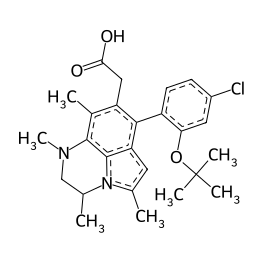 Cc1c(CC(=O)O)c(-c2ccc(Cl)cc2OC(C)(C)C)c2cc(C)n3c2c1N(C)CC3C